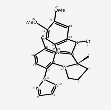 CCn1c([C@]2(C)CCCN2c2cc(C)c[c]c2-n2nccn2)nc2cc(OC)c(OC)cc21